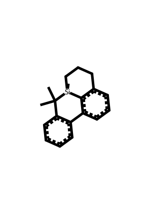 CC1(C)c2ccccc2-c2cccc3c2[Si]1(C)CCC3